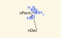 CCCCCCCCCCCCCCCCCc1nc(C(CCCCC)c2nc(N)nc(N)n2)c[nH]1